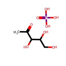 CC(=O)C(O)C(O)CO.O=P(O)(O)O